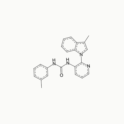 Cc1cccc(NC(=O)Nc2cccnc2-n2cc(C)c3ccccc32)c1